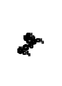 Cc1ccc2c(c1)Nc1c(cnn1C)CN2C(=O)C1CCN(c2ncccc2C)CC1